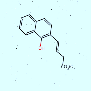 CCOC(=O)CC=Cc1ccc2ccccc2c1O